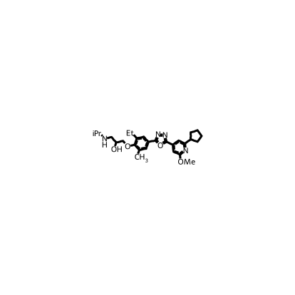 CCc1cc(-c2nnc(-c3cc(OC)nc(C4CCCC4)c3)o2)cc(C)c1OCC(O)CNC(C)C